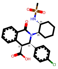 CS(=O)(=O)N[C@@H]1CCCC[C@H]1N1C(=O)c2ccccc2[C@H](C(=O)O)[C@H]1c1ccc(Cl)cc1